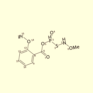 CONS[PH](=O)OC(=O)c1ccccc1OC(C)C